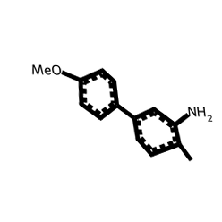 COc1ccc(-c2ccc(C)c(N)c2)cc1